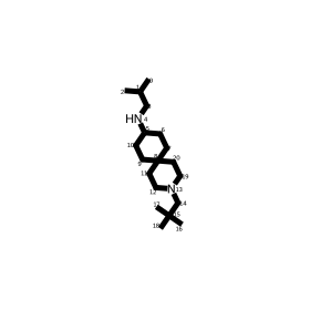 CC(C)CNC1CCC2(CC1)CCN(CC(C)(C)C)CC2